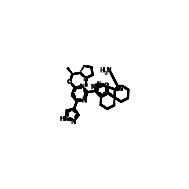 C[C@H](Oc1cc(-c2cn[nH]c2)nc(-c2noc3c2CCC[C@@]32CCCc3sc(N)c(C#N)c32)n1)[C@@H]1CCCN1C